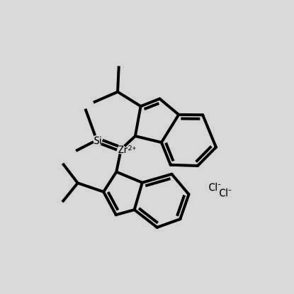 CC(C)C1=Cc2ccccc2[CH]1[Zr+2]([CH]1C(C(C)C)=Cc2ccccc21)=[Si](C)C.[Cl-].[Cl-]